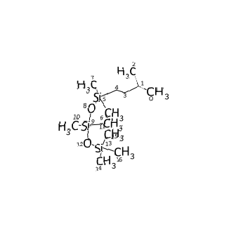 CC(C)CC[Si](C)(C)O[Si](C)(C)O[Si](C)(C)C